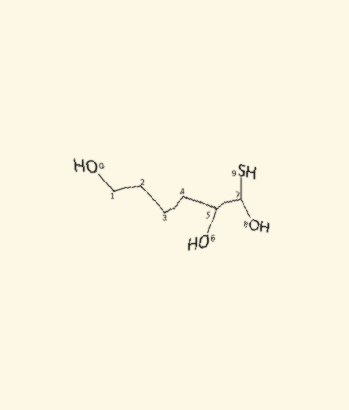 OCCCCC(O)C(O)S